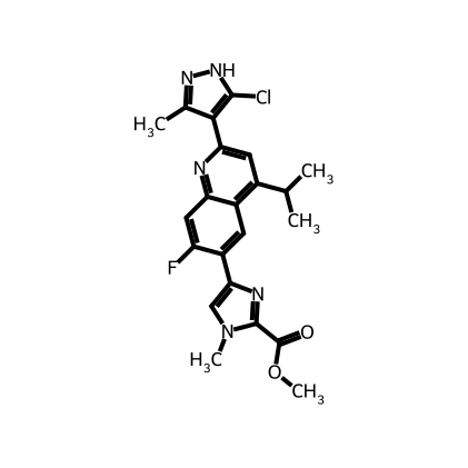 COC(=O)c1nc(-c2cc3c(C(C)C)cc(-c4c(C)n[nH]c4Cl)nc3cc2F)cn1C